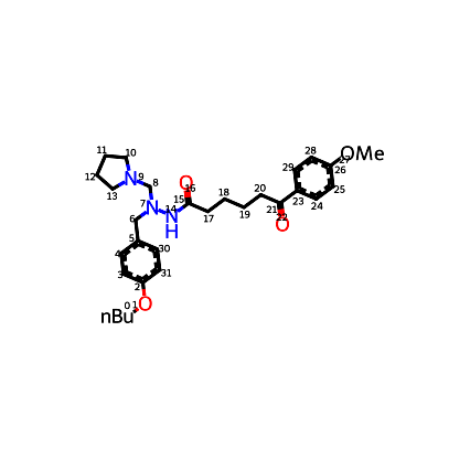 CCCCOc1ccc(CN(CN2CCCC2)NC(=O)CCCCC(=O)c2ccc(OC)cc2)cc1